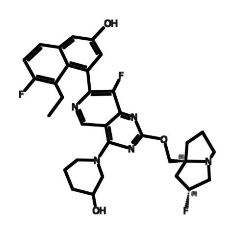 CCc1c(F)ccc2cc(O)cc(-c3ncc4c(N5CCCC(O)C5)nc(OC[C@@]56CCCN5C[C@H](F)C6)nc4c3F)c12